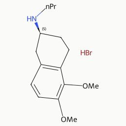 Br.CCCN[C@H]1CCc2c(ccc(OC)c2OC)C1